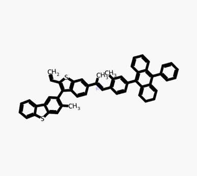 C=Cc1sc2cc(/C(C)=C/c3ccc(-c4c5c(c(-c6ccccc6)c6ccccc46)=CCCC=5)cc3C)ccc2c1-c1cc2c(cc1C)sc1ccccc12